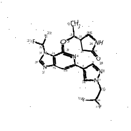 CC(Oc1nc(-c2cnn(CC(F)F)c2)cc2ncn(C(F)F)c12)[C@H]1CNC(=O)C1